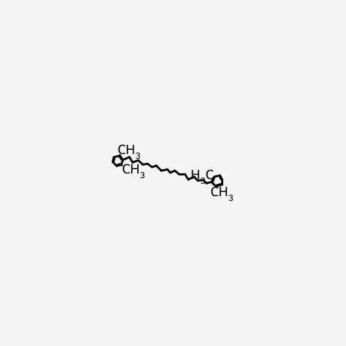 Cc1cccc(C)c1CCCCCCCCCCCCCCCCCCc1c(C)cccc1C